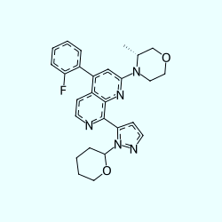 C[C@@H]1COCCN1c1cc(-c2ccccc2F)c2ccnc(-c3ccnn3C3CCCCO3)c2n1